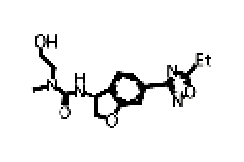 CCc1nc(-c2ccc3c(c2)OC[C@H]3NC(=O)N(C)CCO)no1